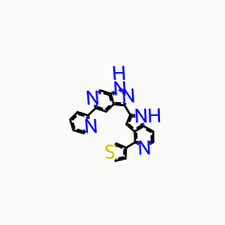 c1ccc(-c2cc3c(-c4cc5c(-c6ccsc6)nccc5[nH]4)n[nH]c3cn2)nc1